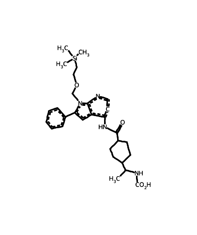 CC(NC(=O)O)C1CCC(C(=O)Nc2ccnc3c2cc(-c2ccccc2)n3COCC[Si](C)(C)C)CC1